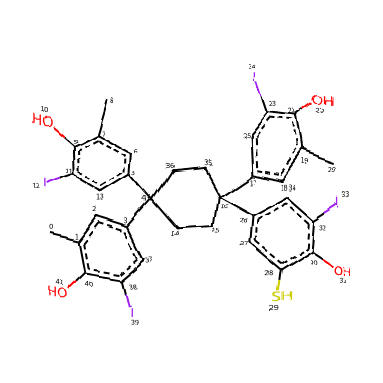 Cc1cc(C2(c3cc(C)c(O)c(I)c3)CCC(c3cc(C)c(O)c(I)c3)(c3cc(S)c(O)c(I)c3)CC2)cc(I)c1O